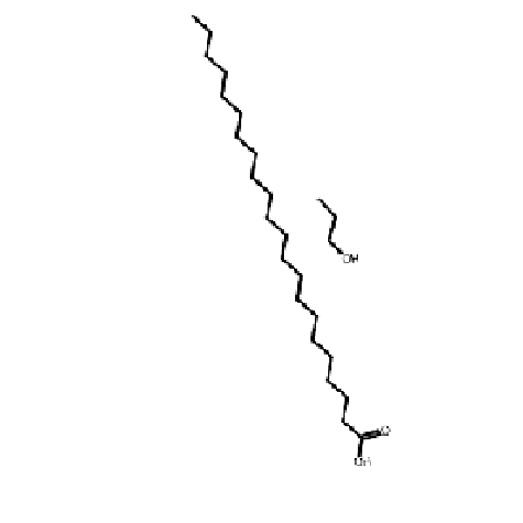 CCCCCCCCCCCCCCCCCCCCCC(=O)O.[CH2]CCO